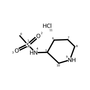 CS(=O)(=O)NC1CCCNC1.Cl